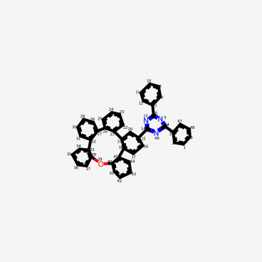 c1ccc(-c2nc(-c3ccccc3)nc(-c3ccc4c(c3)-c3ccccc3-c3ccccc3-c3ccccc3Oc3ccccc3-4)n2)cc1